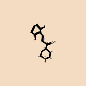 Cc1cccc(C)c1/C=C/C(=O)C1CCNCC1